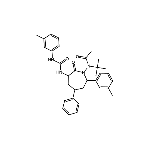 CC(=O)N(N1C(=O)C(NC(=O)Nc2cccc(C)c2)CC(c2ccccc2)CC1c1cccc(C)c1)C(C)(C)C